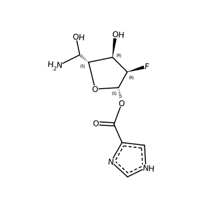 NC(O)[C@H]1O[C@@H](OC(=O)c2c[nH]cn2)[C@H](F)[C@@H]1O